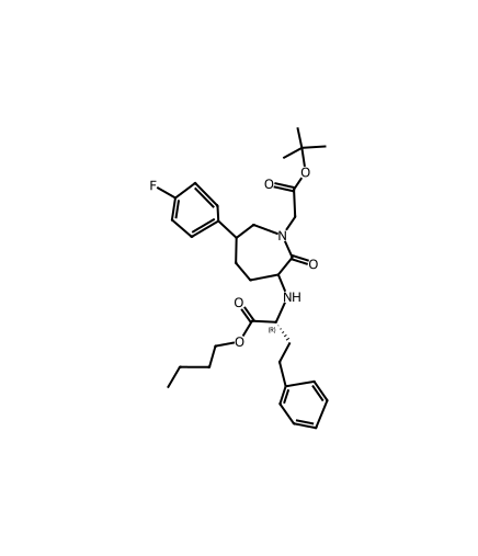 CCCCOC(=O)[C@@H](CCc1ccccc1)NC1CCC(c2ccc(F)cc2)CN(CC(=O)OC(C)(C)C)C1=O